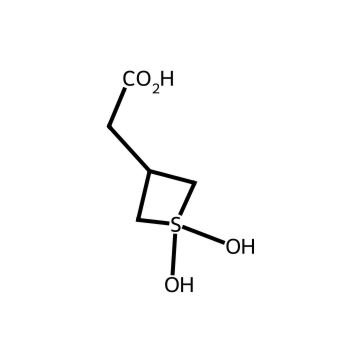 O=C(O)CC1CS(O)(O)C1